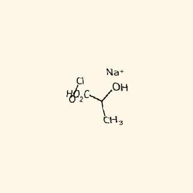 CC(O)C(=O)O.[Na+].[O-]Cl